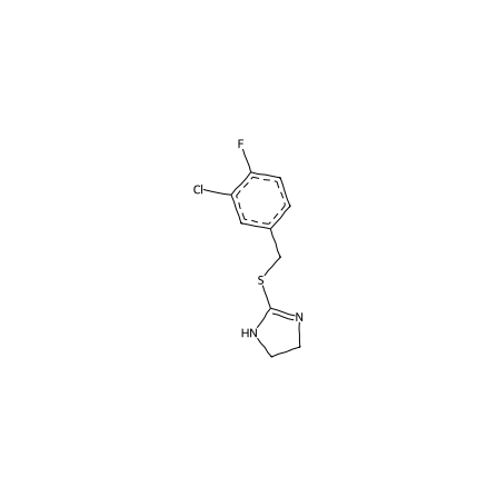 Fc1ccc(CSC2=NCCN2)cc1Cl